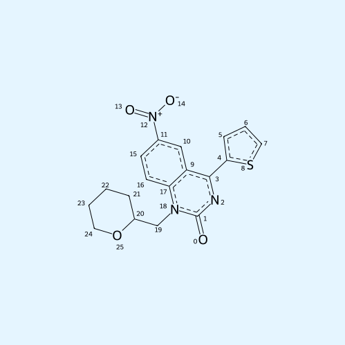 O=c1nc(-c2cccs2)c2cc([N+](=O)[O-])ccc2n1CC1CCCCO1